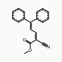 COC(=O)/C(C#N)=C\C=C(c1ccccc1)c1ccccc1